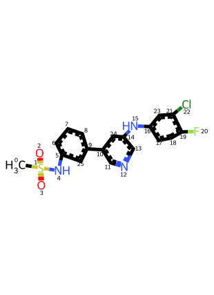 CS(=O)(=O)Nc1cccc(-c2cncc(Nc3ccc(F)c(Cl)c3)c2)c1